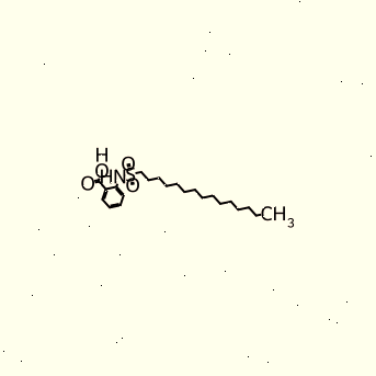 CCCCCCCCCCCCCCCS(=O)(=O)Nc1ccccc1C(=O)O